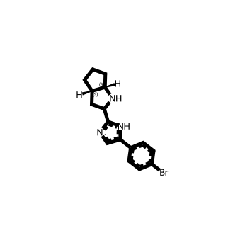 Brc1ccc(-c2cnc(C3C[C@@H]4CCC[C@@H]4N3)[nH]2)cc1